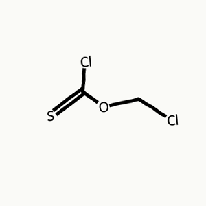 S=C(Cl)OCCl